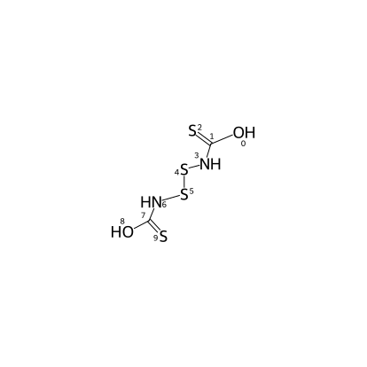 OC(=S)NSSNC(O)=S